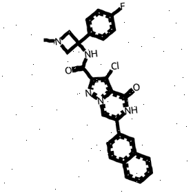 CN1CC(NC(=O)c2nn3cc(-c4ccc5ccccc5c4)[nH]c(=O)c3c2Cl)(c2ccc(F)cc2)C1